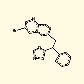 Brc1cnc2ccc(CC(c3ccccc3)c3cnco3)cc2c1